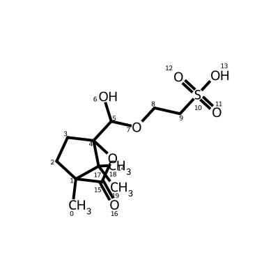 CC12CCC(C(O)OCCS(=O)(=O)O)(OC1=O)C2(C)C